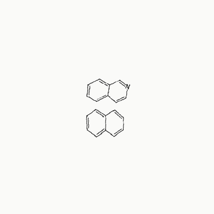 c1ccc2ccccc2c1.c1ccc2cnccc2c1